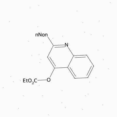 CCCCCCCCCc1cc(OC(=O)OCC)c2ccccc2n1